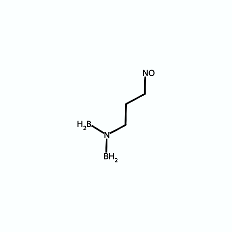 BN(B)CCCN=O